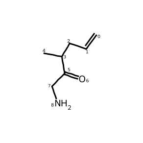 C=CCC(C)C(=O)CN